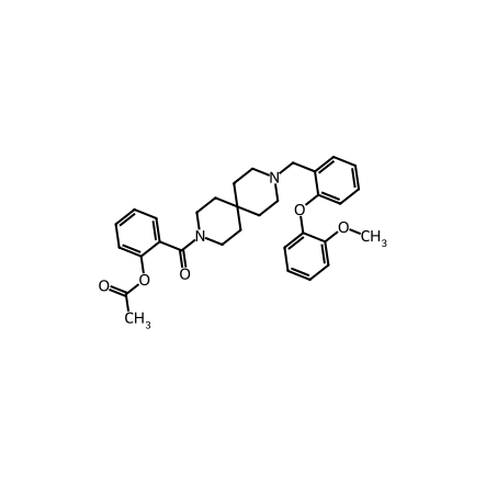 COc1ccccc1Oc1ccccc1CN1CCC2(CC1)CCN(C(=O)c1ccccc1OC(C)=O)CC2